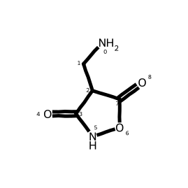 NCC1C(=O)NOC1=O